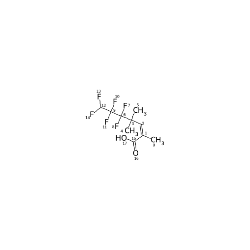 CC(=CC(C)(C)C(F)(F)C(F)(F)C(F)F)C(=O)O